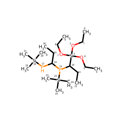 CCO[Si](OCC)(OCC)C(CC)P(C(CC)P[Si](C)(C)C)[Si](C)(C)C